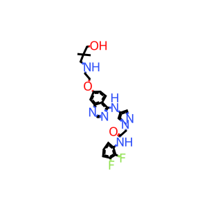 CC(C)(CO)CNCCOc1ccc2c(Nc3cnn(CC(=O)Nc4cccc(F)c4F)c3)ncnc2c1